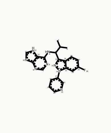 CC(C)C(Nc1ncnc2nc[nH]c12)c1nn(-c2cccnc2)c2cc(F)ccc12